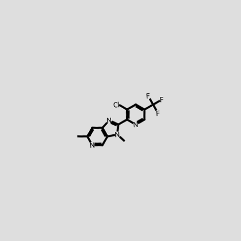 Cc1cc2nc(-c3ncc(C(F)(F)F)cc3Cl)n(C)c2cn1